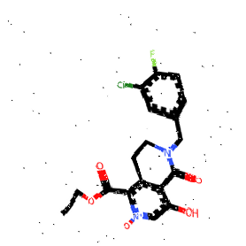 CCOC(=O)c1c2c(c(O)c[n+]1[O-])C(=O)N(Cc1ccc(F)c(Cl)c1)CC2